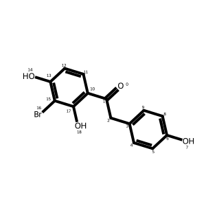 O=C(Cc1ccc(O)cc1)c1ccc(O)c(Br)c1O